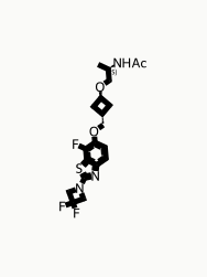 CC(=O)N[C@@H](C)CO[C@H]1C[C@H](COc2ccc3nc(N4CC(F)(F)C4)sc3c2F)C1